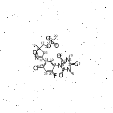 Cn1c(=S)n(C)c(=O)n(-c2cc(C3=NOC(C)(COS(C)(=O)=O)C3)c(Cl)cc2F)c1=O